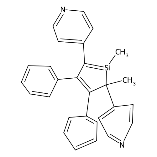 C[Si]1=C(c2ccncc2)C(c2ccccc2)=C(c2ccccc2)C1(C)c1ccncc1